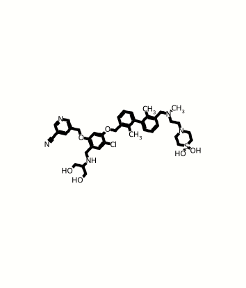 Cc1c(COc2cc(OCc3cncc(C#N)c3)c(CNC(CO)CO)cc2Cl)cccc1-c1cccc(CN(C)CCN2CCS(O)(O)CC2)c1C